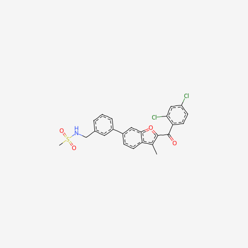 Cc1c(C(=O)c2ccc(Cl)cc2Cl)oc2cc(-c3cccc(CNS(C)(=O)=O)c3)ccc12